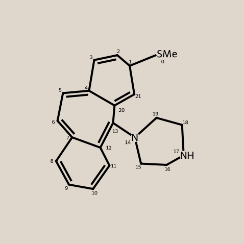 CSC1C=CC2=CC=c3ccccc3=C(N3CCNCC3)C2=C1